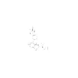 NC(=O)c1cnc2cncc(-c3cccc(OC(F)(F)F)c3)c2n1